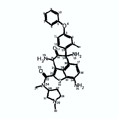 Cc1cc(Oc2ccccc2)ccc1C1(N)C(=O)C(N)c2c(C(=O)N(C)C3CCN(C)C3)sc3c(N)ccc1c23